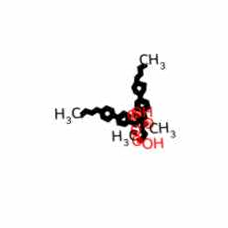 CCCCCC1CCC(c2ccc(CC(Cc3ccc(C4CCC(CCCCC)CC4)cc3)(C(=O)O)C(OC)C(CC(=O)O)OC)cc2)CC1